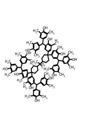 Cc1cc(C(c2cc(C)c(O)c(C)c2)c2cc(C3(c4cc(C)c(O)c(C(c5cc(C)c(O)c(C)c5)c5cc(C)c(O)c(C)c5)c4)CCC(C(C)(C)C4CCC(c5cc(C)c(O)c(C(c6cc(C)c(O)c(C)c6)c6cc(C)c(O)c(C)c6)c5)(c5cc(C)c(O)c(C(c6cc(C)c(O)c(C)c6)c6cc(C)c(O)c(C)c6)c5)CC4)CC3)cc(C)c2O)cc(C)c1O